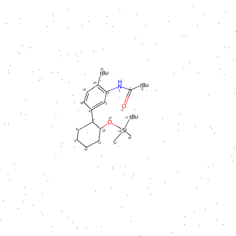 CC(C)(C)C(=O)Nc1cc(C2CCCCC2O[Si](C)(C)C(C)(C)C)ccc1C(C)(C)C